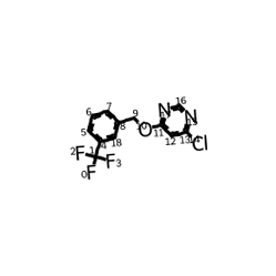 FC(F)(F)c1cccc(COc2cc(Cl)ncn2)c1